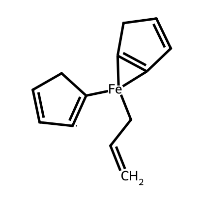 C=C[CH2][Fe]1([C]2=[C]C=CC2)[C]2=[C]1CC=C2